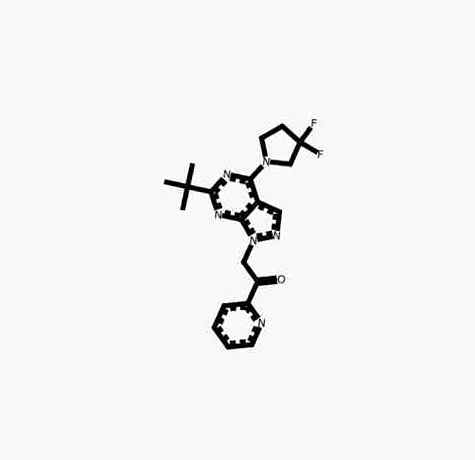 CC(C)(C)c1nc(N2CCC(F)(F)C2)c2cnn(CC(=O)c3ccccn3)c2n1